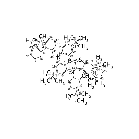 CC1C=C(C(C)(C)C)C=CC1N1c2cc(C(C)(C)C)cc3c2B(c2cc(C(C)(C)C)ccc2N3CC2C=CC=C3C2C2=C(C=CCC2)C3(C)C)C2Sc3cc4c(cc3C21)C(C)(C)CCC4(C)C